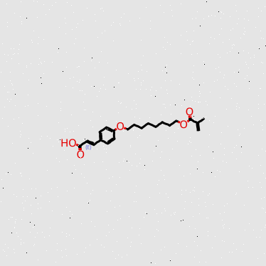 C=C(C)C(=O)OCCCCCCCCOc1ccc(/C=C/C(=O)O)cc1